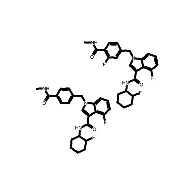 CNC(=O)c1ccc(Cn2cc(C(=O)NC3CCCCC3F)c3c(F)cccc32)cc1.CNC(=O)c1ccc(Cn2cc(C(=O)NC3CCCCC3F)c3c(F)cccc32)cc1F